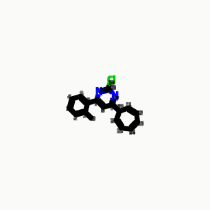 Cc1ccccc1-c1cc(C2C=CC=CC=C2)nc(Cl)n1